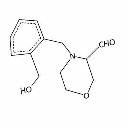 O=CC1COCCN1Cc1ccccc1CO